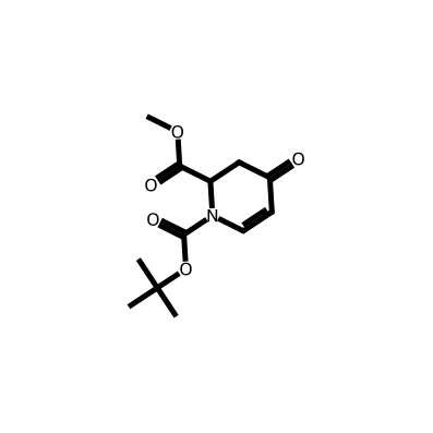 COC(=O)C1CC(=O)C=CN1C(=O)OC(C)(C)C